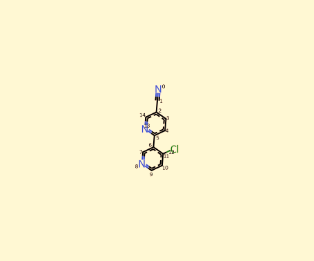 N#Cc1ccc(-c2cnccc2Cl)nc1